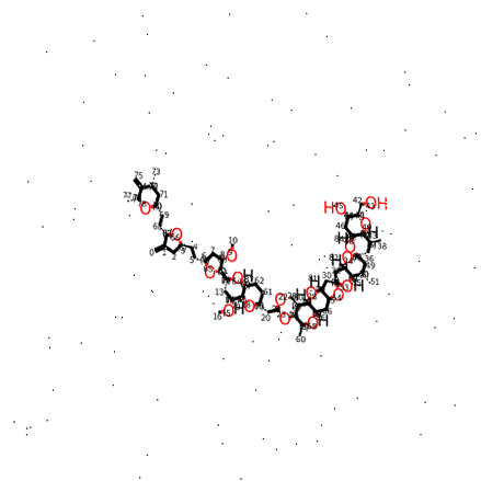 C=C1C[C@H](CC[C@@H]2C[C@@H](OC)[C@@H]([C@H]3C[C@@H](OC)[C@H]4O[C@@H](CC(=O)O[C@@H]5[C@@H](C)[C@@H]6O[C@@H]7C[C@]8(C[C@@H]9O[C@]%10(C[C@H](C)[C@@H]%11O[C@H](CO)[C@H](O)C[C@@H]%11O%10)C[C@H](C)[C@@H]9O8)OC7C[C@@H]6O[C@H]5C)CC[C@@H]4O3)O2)O[C@H]1CC[C@H]1C[C@@H](C)C(=C)[C@@H](C)O1